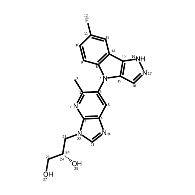 Cc1nc2c(cc1-n1c3ccc(F)cc3c3[nH]ncc31)ncn2C[C@H](O)CO